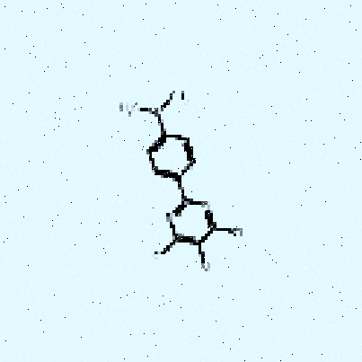 CN(C)c1ccc(-c2nc(Cl)c(Cl)c(Cl)n2)cc1